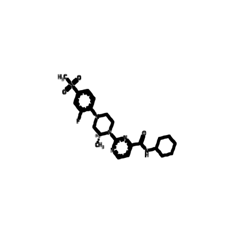 C[C@@H]1CN(c2ccc(S(C)(=O)=O)cc2F)CCN1c1nccc(C(=O)NC2CCCCC2)n1